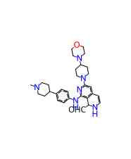 CN1CCC(c2ccc(Nc3nc(N4CCC(N5CCOCC5)CC4)cc4c3C(C=O)NC=C4)cc2)CC1